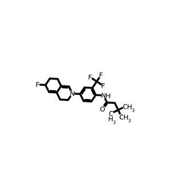 CC(C)(C)CC(=O)Nc1ccc(N2C=C3CCC(F)C=C3CC2)cc1C(F)(F)F